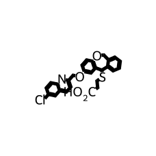 O=C(O)CCSC1c2ccccc2COc2ccc(OCc3ccc4cc(Cl)ccc4n3)cc21